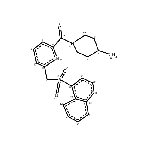 CC1CCN(C(=O)c2cccc(CS(=O)(=O)c3cccc4ccccc34)n2)CC1